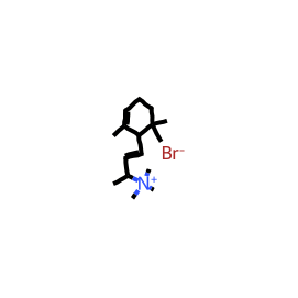 CC1=CCCC(C)(C)C1C=CC(C)[N+](C)(C)C.[Br-]